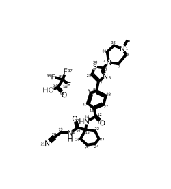 CN1CCN(c2nc(-c3ccc(C(=O)NC4(C(=O)NCC#N)CCCCC4)cc3)cs2)CC1.O=C(O)C(F)(F)F